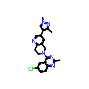 Cc1nc(N2CCc3ncc(-c4cn(C)nc4C)cc3C2)c2cc(Cl)ccc2n1